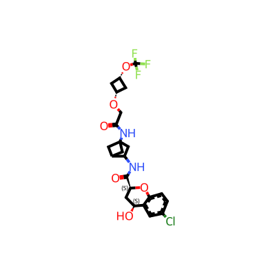 O=C(CO[C@H]1C[C@@H](OC(F)(F)F)C1)NC12CC(C1)C(NC(=O)[C@@H]1C[C@H](O)c3cc(Cl)ccc3O1)C2